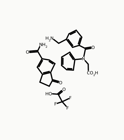 NC(=O)c1ccc2c(c1)CCC2=O.NCc1cccc(C(=O)N(CC(=O)O)c2ccccc2)c1.O=C(O)C(F)(F)F